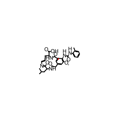 COc1cc(CC(=O)NC(CC(C)C)c2ncc(CC(NC(C)=O)C(=O)O)o2)ccc1NC(=O)Nc1ccccc1C